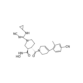 Cc1cc(C#N)ccc1C1=CCN(C(=O)[C@H]2CCN(/C(=N/C#N)NC3CC3)C[C@@H]2C(=O)NO)CC1